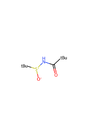 CC(C)(C)C(=O)N[S+]([O-])C(C)(C)C